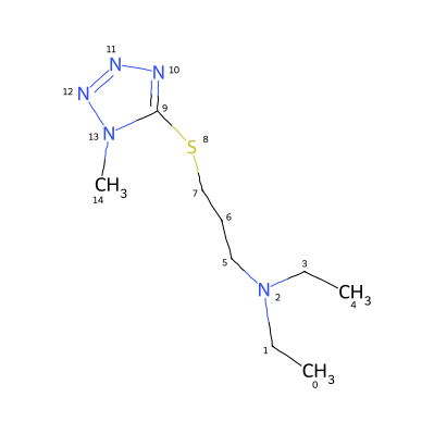 CCN(CC)CCCSc1nnnn1C